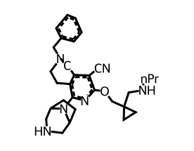 CCCNCC1(COc2nc(N3C4CCC3CNC4)c3c(c2C#N)CN(Cc2ccccc2)CC3)CC1